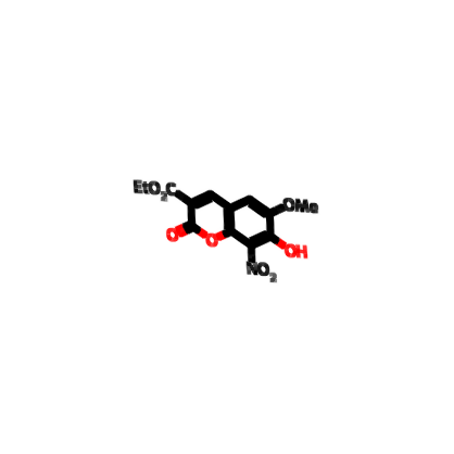 CCOC(=O)c1cc2cc(OC)c(O)c([N+](=O)[O-])c2oc1=O